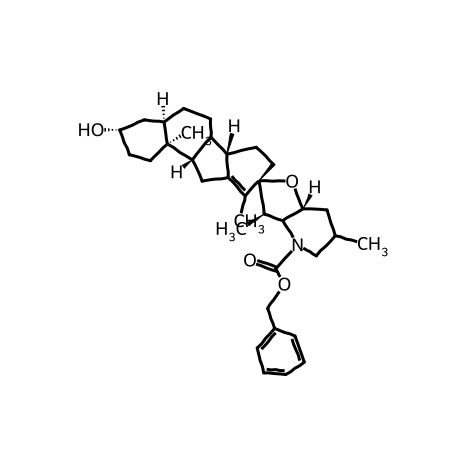 CC1=C2C[C@H]3C(CC[C@@H]4C[C@@H](O)CC[C@@]43C)[C@@H]2CC[C@]12O[C@@H]1CC(C)CN(C(=O)OCc3ccccc3)C1[C@H]2C